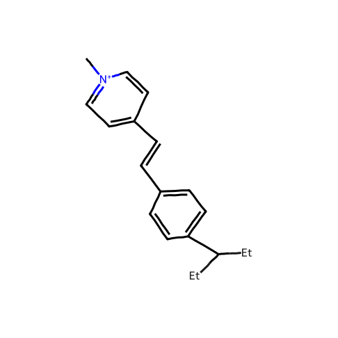 CCC(CC)c1ccc(/C=C/c2cc[n+](C)cc2)cc1